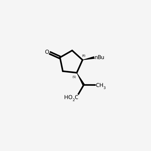 CCCC[C@@H]1CC(=O)C[C@@H]1C(C)C(=O)O